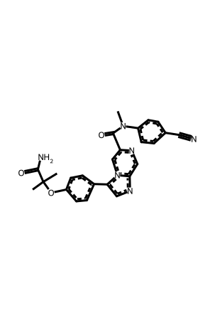 CN(C(=O)c1cn2c(-c3ccc(OC(C)(C)C(N)=O)cc3)cnc2cn1)c1ccc(C#N)cc1